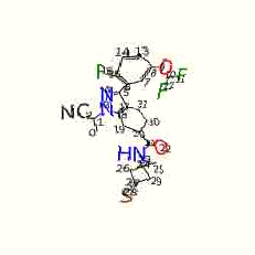 CC(C#N)n1nc(-c2cc(OC(F)F)ccc2F)c2c1C[C@H](C(=O)NC1(C)CC(=S)C1)CC2